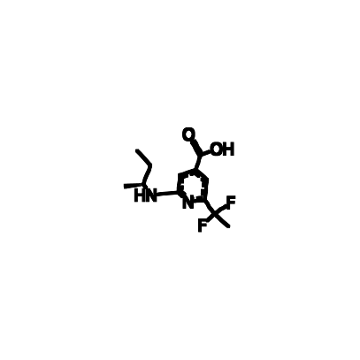 CC[C@H](C)Nc1cc(C(=O)O)cc(C(C)(F)F)n1